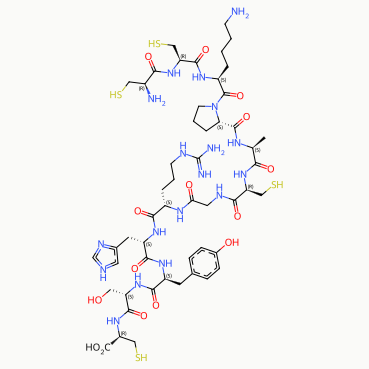 C[C@H](NC(=O)[C@@H]1CCCN1C(=O)[C@H](CCCCN)NC(=O)[C@H](CS)NC(=O)[C@@H](N)CS)C(=O)N[C@@H](CS)C(=O)NCC(=O)N[C@@H](CCCNC(=N)N)C(=O)N[C@@H](Cc1c[nH]cn1)C(=O)N[C@@H](Cc1ccc(O)cc1)C(=O)N[C@@H](CO)C(=O)N[C@@H](CS)C(=O)O